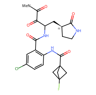 CNC(=O)C(=O)C(C[C@@H]1CCNC1=O)NC(=O)c1cc(Cl)ccc1NC(=O)C12CC(F)(C1)C2